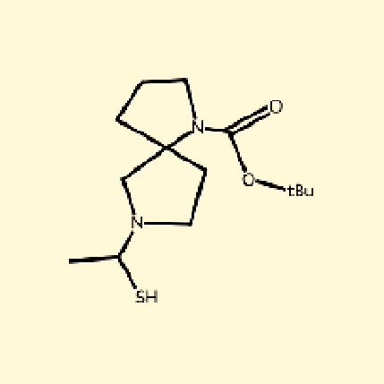 CC(S)N1CCC2(CCCN2C(=O)OC(C)(C)C)C1